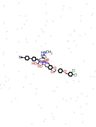 CNc1nc(C)c(S(=O)(=O)N2Cc3cc4c(cc3C[C@H]2C(=O)NC(Cc2ccc(-c3ccc(C#N)cc3)cc2)C(=O)O)OC[C@@H](c2ccc(OCc3ccc(Cl)c(Cl)c3)cc2)O4)s1